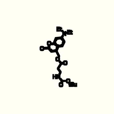 CCN(CC)c1ccc2c(COC(=O)CCNC(=O)OC(C)(C)C)cc(=O)oc2c1